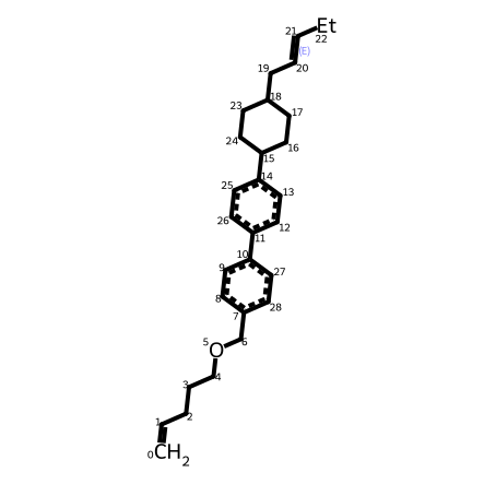 C=CCCCOCc1ccc(-c2ccc(C3CCC(C/C=C/CC)CC3)cc2)cc1